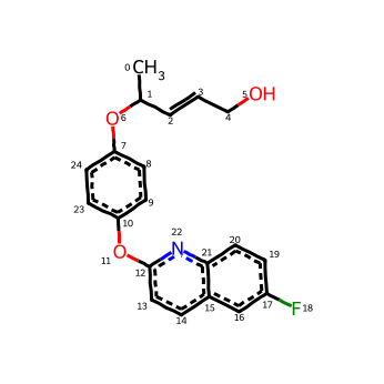 CC(C=CCO)Oc1ccc(Oc2ccc3cc(F)ccc3n2)cc1